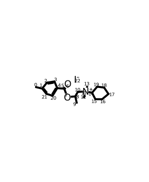 Cc1ccc(C(=O)OC(C)C[N+](C)(C)C2CCCCC2)cc1.[I-]